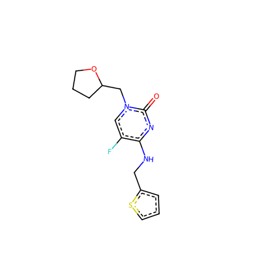 O=c1nc(NCc2cccs2)c(F)cn1CC1CCCO1